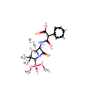 COP(=O)(OC)C1N2C(=O)C(NC(=O)C(C(=O)[O-])c3ccccc3)[C@@H]2SC1(C)C.[K+]